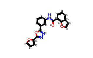 O=C(Nc1cccc(-c2nnc(-c3ccco3)o2)c1)c1cccc2ccoc12